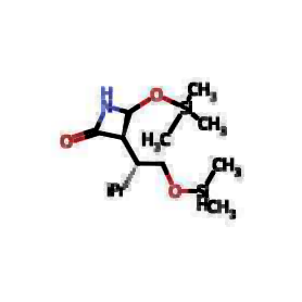 CC(C)[C@@H](CO[SiH](C)C)[C@H]1C(=O)NC1O[Si](C)(C)C